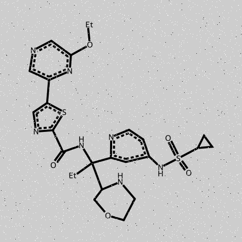 CCOc1cncc(-c2cnc(C(=O)NC(CC)(c3cc(NS(=O)(=O)C4CC4)ccn3)C3COCCN3)s2)n1